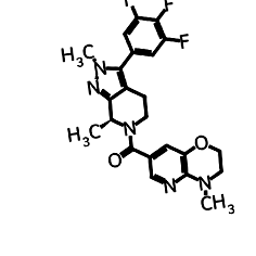 C[C@H]1c2nn(C)c(-c3cc(F)c(F)c(F)c3)c2CCN1C(=O)c1cnc2c(c1)OCCN2C